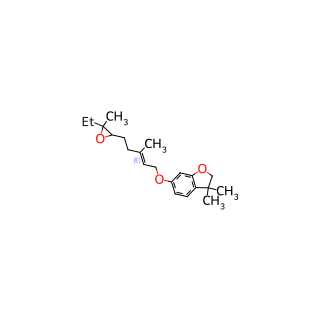 CCC1(C)OC1CC/C(C)=C/COc1ccc2c(c1)OCC2(C)C